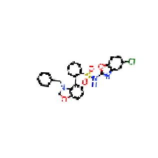 O=S(=O)(Nc1nc2cc(Cl)ccc2o1)c1ccccc1-c1cccc2c1N(Cc1ccccc1)CO2